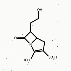 O=C(O)C1=C(S(=O)(=O)O)CC2C(CCO)C(=O)N12